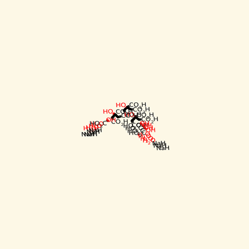 O.O.O.O.O.O.O.O.O=C(O)CC(O)(CC(=O)O)C(=O)O.O=C(O)CC(O)(CC(=O)O)C(=O)O.O=C(O)CC(O)(CC(=O)O)C(=O)O.O=C(O)O.O=C(O)O.O=C(O)O.O=C(O)O.O=C(O)O.[NaH].[NaH].[NaH].[NaH].[NaH].[NaH].[NaH]